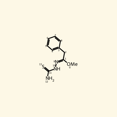 COC(Cc1ccccc1)=NNC(N)=S